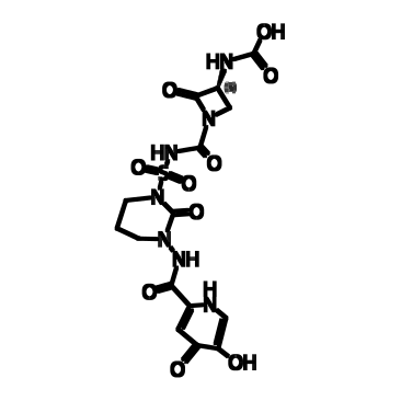 O=C(O)N[C@H]1CN(C(=O)NS(=O)(=O)N2CCCN(NC(=O)c3cc(=O)c(O)c[nH]3)C2=O)C1=O